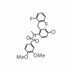 COc1ccc(S(=O)(=O)N(C)c2ccc(Cl)cc2Cc2c(F)cccc2F)cc1OC